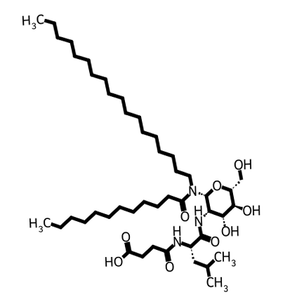 CCCCCCCCCCCCCCCCCCN(C(=O)CCCCCCCCCCC)[C@@H]1O[C@H](CO)[C@@H](O)[C@H](O)[C@@H]1NC(=O)[C@H](CC(C)C)NC(=O)CCC(=O)O